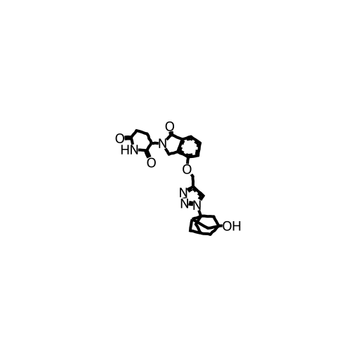 O=C1CCC(N2Cc3c(OCc4cn(C56CC7CC5CC(O)(C7)C6)nn4)cccc3C2=O)C(=O)N1